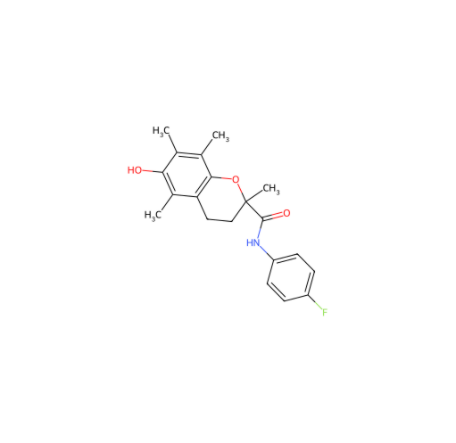 Cc1c(C)c2c(c(C)c1O)CCC(C)(C(=O)Nc1ccc(F)cc1)O2